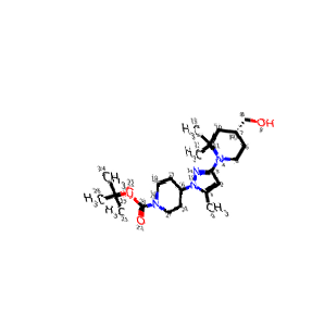 Cc1cc(N2CC[C@@H](CO)CC2(C)C)nn1C1CCN(C(=O)OC(C)(C)C)CC1